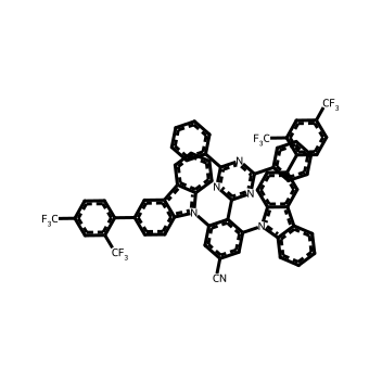 N#Cc1cc(-n2c3ccccc3c3cc(-c4ccc(C(F)(F)F)cc4C(F)(F)F)ccc32)c(-c2nc(-c3ccccc3)nc(-c3ccccc3)n2)c(-n2c3ccccc3c3cc(-c4ccc(C(F)(F)F)cc4C(F)(F)F)ccc32)c1